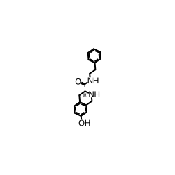 O=C(NCCc1ccccc1)[C@H]1Cc2ccc(O)cc2CN1